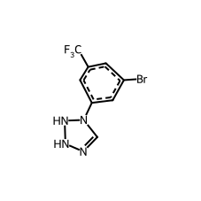 FC(F)(F)c1cc(Br)cc(N2C=NNN2)c1